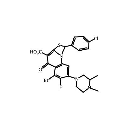 CCc1c(F)c(N2CCN(C)C(C)C2)cc2c1c(=O)c(C(=O)O)c1n2C(c2ccc(Cl)cc2)S1